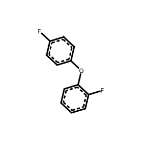 Fc1[c]cc(Oc2ccccc2F)cc1